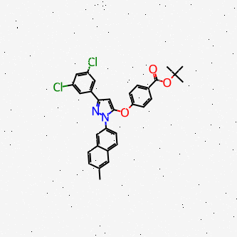 Cc1ccc2cc(-n3nc(-c4cc(Cl)cc(Cl)c4)cc3Oc3ccc(C(=O)OC(C)(C)C)cc3)ccc2c1